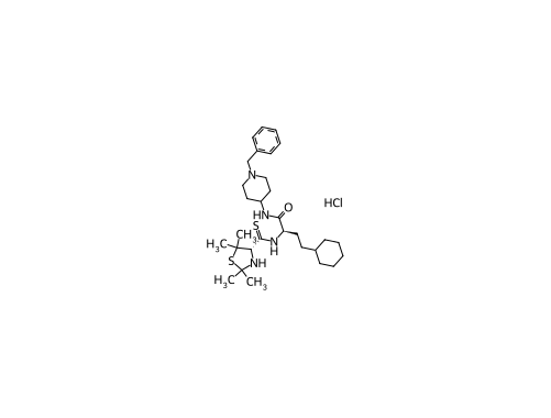 CC1(C)N[C@@H](C(=S)N[C@H](CCC2CCCCC2)C(=O)NC2CCN(Cc3ccccc3)CC2)C(C)(C)S1.Cl